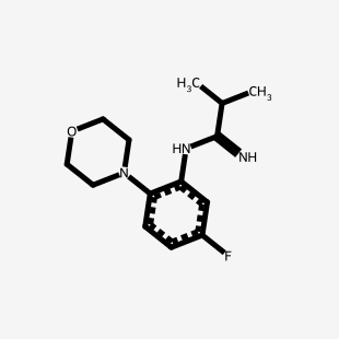 CC(C)C(=N)Nc1cc(F)ccc1N1CCOCC1